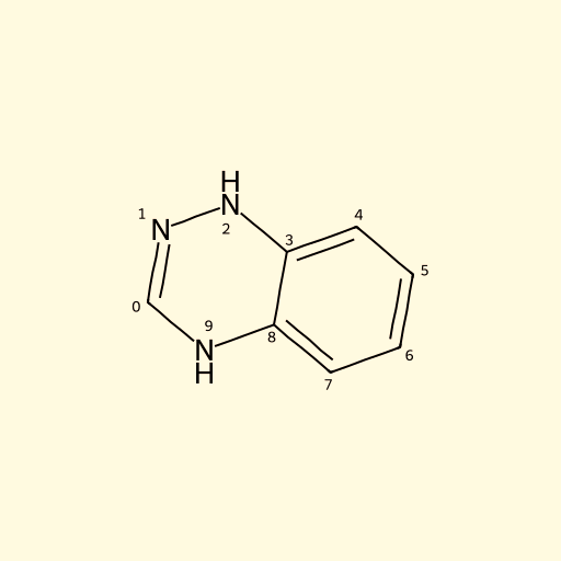 C1=NNc2ccccc2N1